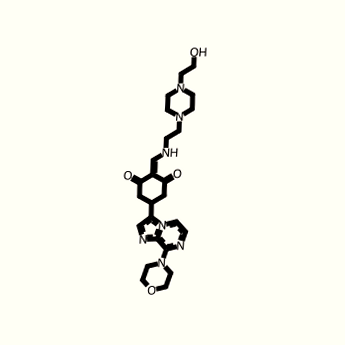 O=C1CC(c2cnc3c(N4CCOCC4)nccn23)CC(=O)C1=CNCCN1CCN(CCO)CC1